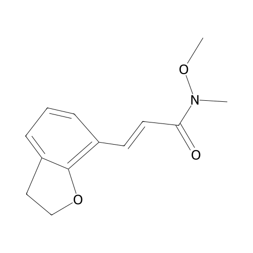 CON(C)C(=O)C=Cc1cccc2c1OCC2